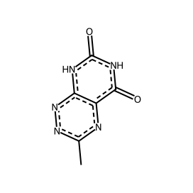 Cc1nnc2[nH]c(=O)[nH]c(=O)c2n1